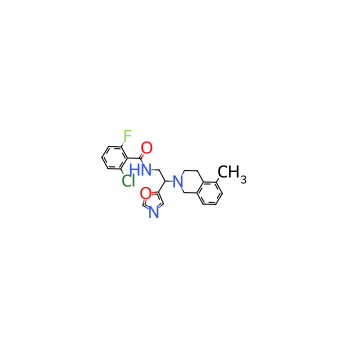 Cc1cccc2c1CCN(C(CNC(=O)c1c(F)cccc1Cl)c1cnco1)C2